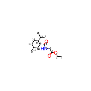 CCOC(=O)CNC(=O)[C@@H]1C[C@@H](C)CC[C@H]1C(C)C